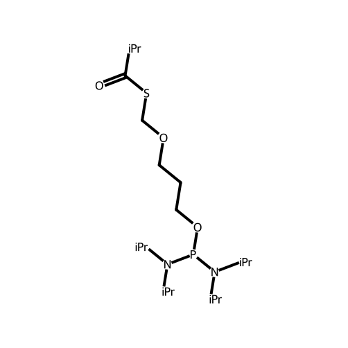 CC(C)C(=O)SCOCCCOP(N(C(C)C)C(C)C)N(C(C)C)C(C)C